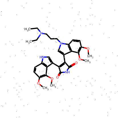 CCN(CC)CCCn1cc(C2=C(c3c[nH]c4ccc(OC)c(OC)c34)C(=O)NC2=O)c2c(OC)c(OC)ccc21